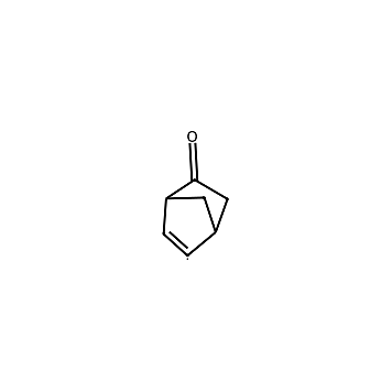 O=C1CC2[C]=CC1C2